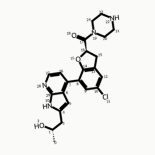 C[C@H](O)Cc1cc2c(-c3cc(Cl)cc4c3O[C@@H](C(=O)N3CCNCC3)C4)ccnc2[nH]1